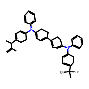 C=C(C)C(C)C1=CC=C(N(C2=CC=C(C3=CC=C(N(C4=CC=C(C(C)(CC)CCC)CC4)c4ccccc4)CC3)CC2)c2ccccc2)CC1